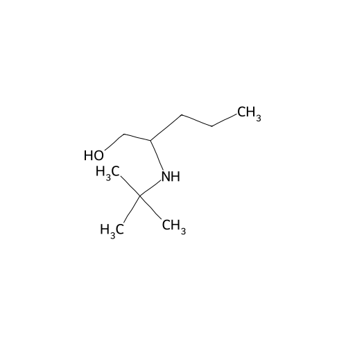 CCCC(CO)NC(C)(C)C